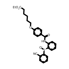 CCOC(=O)CCCCCOc1ccc(C(=O)Nc2ccccc2[S+]([O-])c2ccccc2C#N)cc1